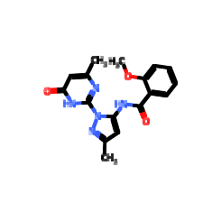 COc1ccccc1C(=O)Nc1cc(C)nn1-c1nc(C)cc(=O)[nH]1